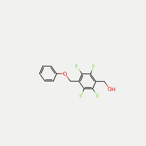 OCc1c(F)c(F)c(COc2ccccc2)c(F)c1F